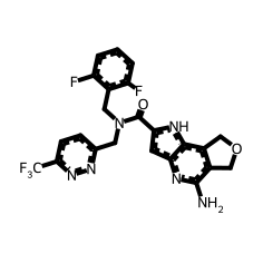 Nc1nc2cc(C(=O)N(Cc3ccc(C(F)(F)F)nn3)Cc3c(F)cccc3F)[nH]c2c2c1COC2